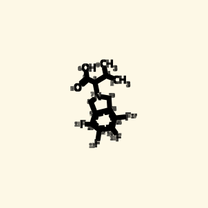 CC(C)C(C(=O)O)N1Cc2c(F)c(F)c(F)c(F)c2C1